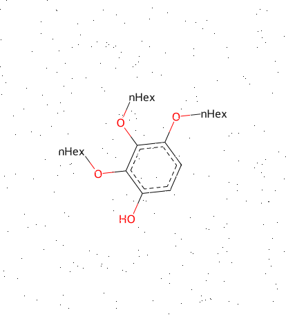 CCCCCCOc1ccc(O)c(OCCCCCC)c1OCCCCCC